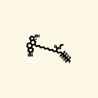 CCOC(=O)C(CCCCCCCCCC1C[C@@]2(C)C(CC[C@@H]2O)C2CCc3cc(O)ccc3C12)CCC(F)(F)C(F)(F)C(F)(F)C(F)(F)F